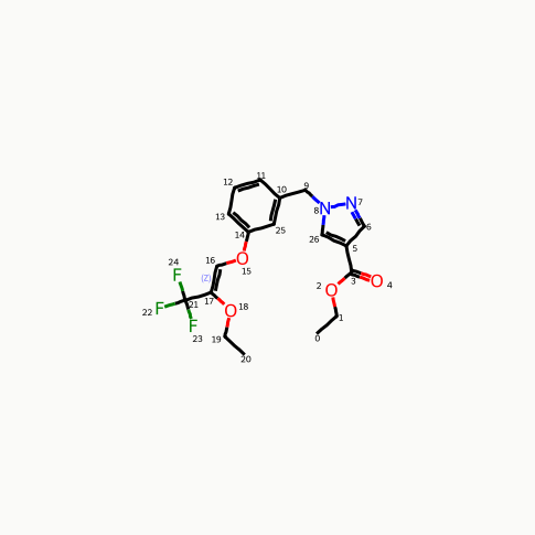 CCOC(=O)c1cnn(Cc2cccc(O/C=C(\OCC)C(F)(F)F)c2)c1